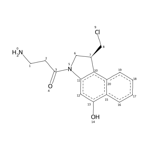 NCCC(=O)N1C[C@@H](CCl)c2c1cc(O)c1ccccc21